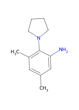 Cc1cc(C)c(N2CCCC2)c(N)c1